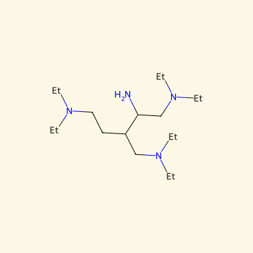 CCN(CC)CCC(CN(CC)CC)C(N)CN(CC)CC